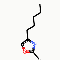 [CH2]c1nc(CCCCC)co1